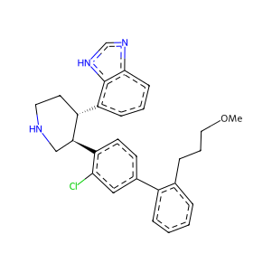 COCCCc1ccccc1-c1ccc([C@H]2CNCC[C@@H]2c2cccc3nc[nH]c23)c(Cl)c1